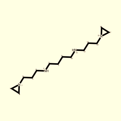 C(CCNCCCN1CC1)CNCCCN1CC1